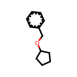 [CH](OC1CCCC1)c1ccccc1